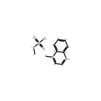 COS(=O)(=O)[O-].C[n+]1ccnc2ccccc21